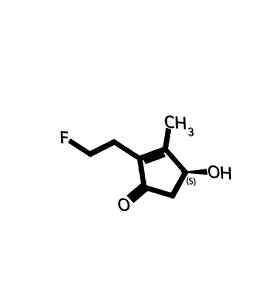 CC1=C(CCF)C(=O)C[C@@H]1O